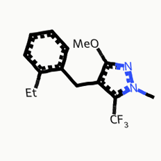 CCc1ccccc1Cc1c(OC)nn(C)c1C(F)(F)F